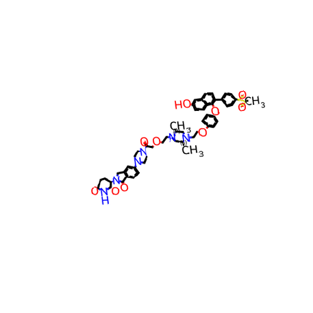 C[C@@H]1CN(CCOc2ccc(Oc3c(-c4ccc(S(C)(=O)=O)cc4)ccc4cc(O)ccc34)cc2)[C@@H](C)CN1CCOCC(=O)N1CCN(c2ccc3c(c2)CN(C2CCC(=O)NC2=O)C3=O)CC1